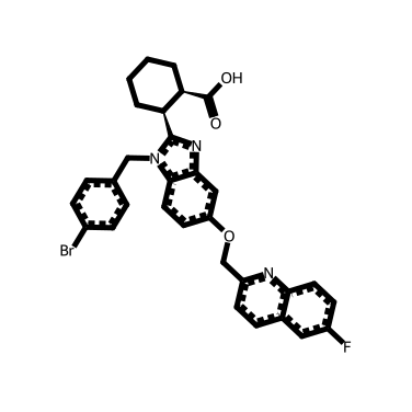 O=C(O)[C@@H]1CCCC[C@@H]1c1nc2cc(OCc3ccc4cc(F)ccc4n3)ccc2n1Cc1ccc(Br)cc1